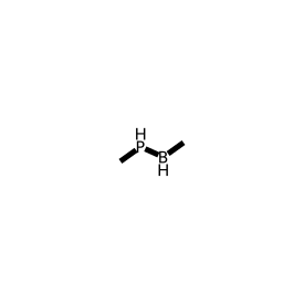 CBPC